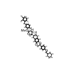 COC(=O)[C@H](Cc1ccc(Cc2ccnc(C)c2C)cc1)NC(=O)[C@@H]1Cc2cc3c(cc2CN1)O[C@@H](c1ccc(OCC2CCCCC2)cc1)CO3